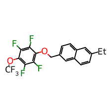 CCc1ccc2cc(COc3c(F)c(F)c(OC(F)(F)F)c(F)c3F)ccc2c1